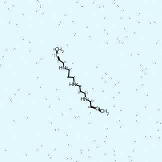 C=C=CCNCCCNCCCNCC=C=C